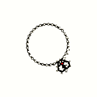 c1ccc2c(c1)C21COCCOCCOCCOCCOCCCOCCOCCOCCOCCOC12c1ccccc12